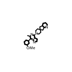 COc1cccc(-c2c(C)nc(N3CCC4(CC3)Cc3cccnc3C4)c3ccnn23)c1